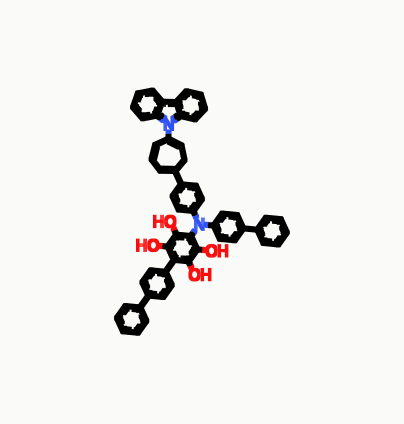 Oc1c(O)c(N(c2ccc(C3=CC=CC(n4c5ccccc5c5ccccc54)=CC3)cc2)c2ccc(-c3ccccc3)cc2)c(O)c(O)c1-c1ccc(-c2ccccc2)cc1